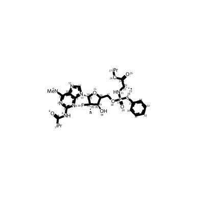 CNc1nc(NC(=O)C(C)C)nc2c1ncn2[C@@H]1OC(COP(=O)(N[C@@H](C)C(=O)OC(C)C)Sc2ccccc2)[C@@H](O)[C@@]1(C)F